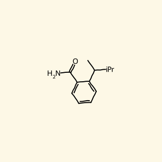 CC(C)C(C)c1ccccc1C(N)=O